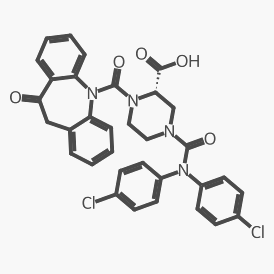 O=C1Cc2ccccc2N(C(=O)N2CCN(C(=O)N(c3ccc(Cl)cc3)c3ccc(Cl)cc3)C[C@H]2C(=O)O)c2ccccc21